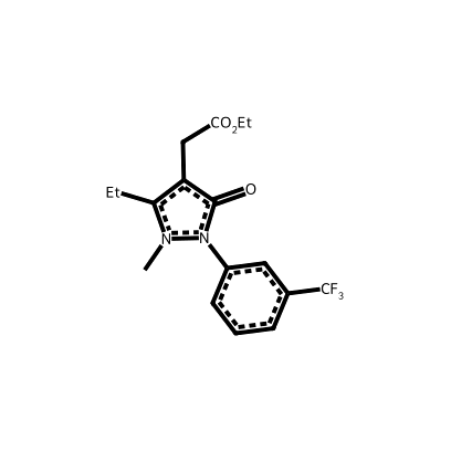 CCOC(=O)Cc1c(CC)n(C)n(-c2cccc(C(F)(F)F)c2)c1=O